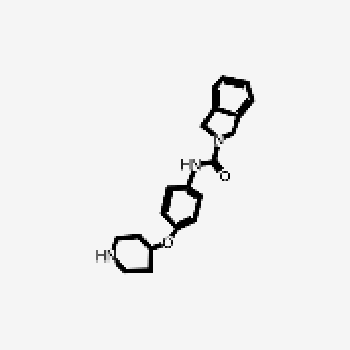 O=C(Nc1ccc(OC2CCNCC2)cc1)N1Cc2ccccc2C1